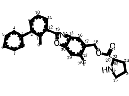 Cc1c(-c2ccccc2)cccc1-c1nc2cc(COC(=O)[C@@H]3CCCN3)c(F)cc2o1